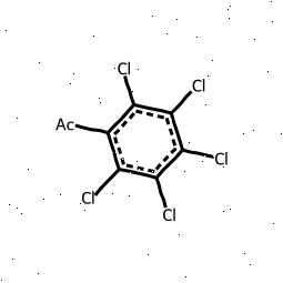 CC(=O)c1c(Cl)c(Cl)c(Cl)c(Cl)c1Cl